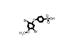 COc1cc(Br)c(Oc2ccc(S(=O)(=O)O)cc2)cc1Br